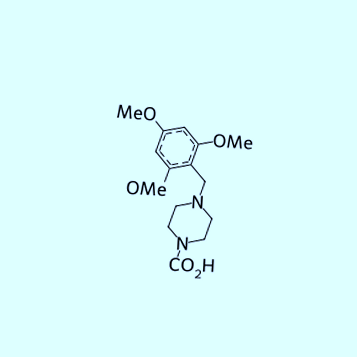 COc1cc(OC)c(CN2CCN(C(=O)O)CC2)c(OC)c1